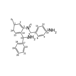 CC1C=C(N(C)Cc2ccc(N)cc2)C(C(N)c2ccccc2)=CC1